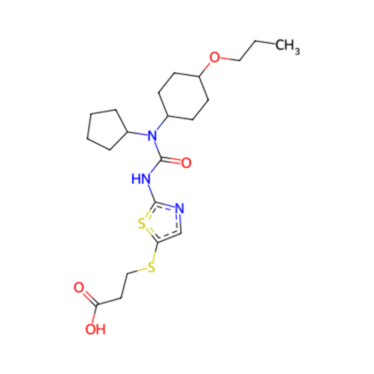 CCCOC1CCC(N(C(=O)Nc2ncc(SCCC(=O)O)s2)C2CCCC2)CC1